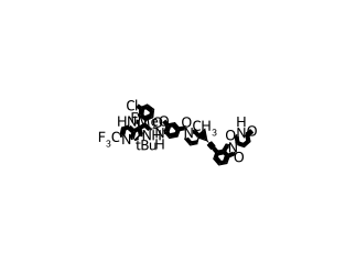 COc1cc(C(=O)N2CCC[C@]3(C[C@@H]3C#Cc3cccc4c3CN(C3CCC(=O)NC3=O)C4=O)[C@@H]2C)ccc1NC(=O)[C@@H]1N[C@@H](CC(C)(C)C)[C@@]2(CNc3cc(C(F)(F)F)ncc32)[C@H]1c1cccc(Cl)c1F